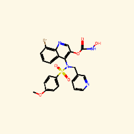 COc1ccc(S(=O)(=O)N(Cc2cccnc2)c2c(OC(=O)NO)cnc3c(Br)cccc23)cc1